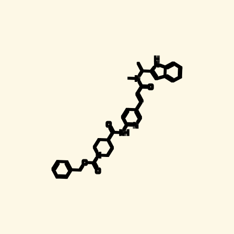 CC(c1cc2ccccc2[nH]1)N(C)C(=O)C=Cc1ccc(NC(=O)C2CCN(C(=O)OCc3ccccc3)CC2)nc1